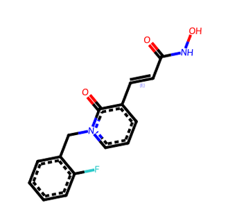 O=C(/C=C/c1cccn(Cc2ccccc2F)c1=O)NO